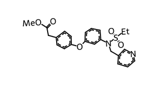 CCS(=O)(=O)N(Cc1cccnc1)c1cccc(Oc2ccc(CC(=O)OC)cc2)c1